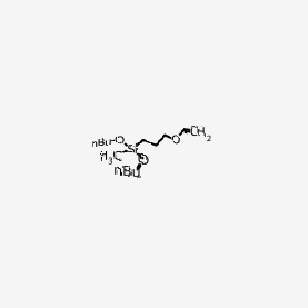 C=COCCC[Si](C)(OCCCC)OCCCC